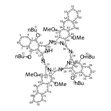 CCCCOc1c2ccccc2c(OCCCC)c2c3nc4nc(nc5c6c(OCCCC)c7ccccc7c(OCCCC)c6c(nc6nc(nc([nH]3)c12)-c1c-6c(OC)c2cc3ccccc3cc2c1OC)n5C)-c1c-4c(OC)c2cc3ccccc3cc2c1OC